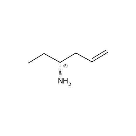 C=CC[C@H](N)CC